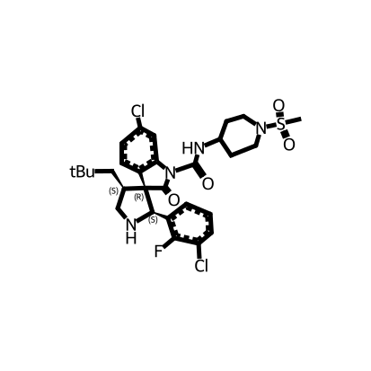 CC(C)(C)C[C@@H]1CN[C@H](c2cccc(Cl)c2F)[C@@]12C(=O)N(C(=O)NC1CCN(S(C)(=O)=O)CC1)c1cc(Cl)ccc12